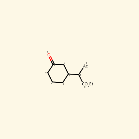 CCOC(=O)C(C(C)=O)C1CCCC(=O)C1